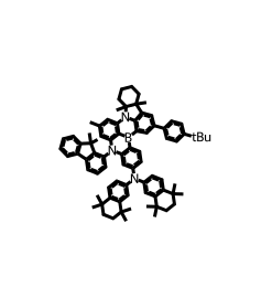 Cc1cc2c3c(c1)N1c4c(cc(-c5ccc(C(C)(C)C)cc5)cc4C4(C)CCCCC14C)B3c1ccc(N(c3ccc4c(c3)C(C)(C)CCC4(C)C)c3ccc4c(c3)C(C)(C)CCC4(C)C)cc1N2c1cccc2c1C(C)(C)c1ccccc1-2